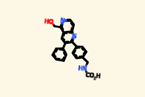 O=C(O)NCc1ccc(-c2nc3ccnc(CO)c3cc2-c2ccccc2)cc1